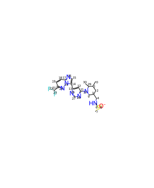 CC1CC(CN[S+](C)[O-])CN(c2cc(-c3cnc4ccc(C(F)F)nn34)ncn2)C1C